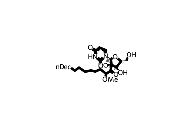 CCCCCCCCCCCCCCCCC(OC)C(=O)[C@@]1(O)[C@H](O)[C@@H](CO)O[C@H]1n1ccc(=O)[nH]c1=O